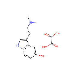 CN(C)CCc1c[nH]c2ccc(O)cc12.O=C(O)C(=O)O